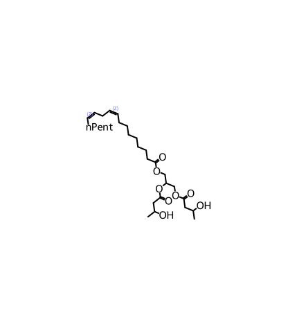 CCCCC/C=C\C/C=C\CCCCCCCC(=O)OCC(COC(=O)CC(C)O)OC(=O)CC(C)O